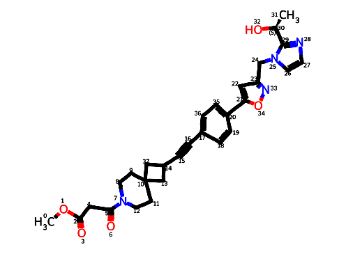 COC(=O)CC(=O)N1CCC2(CC1)CC(C#Cc1ccc(-c3cc(Cn4ccnc4[C@H](C)O)no3)cc1)C2